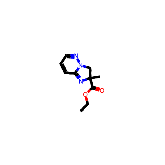 CCOC(=O)C1(C)CN2N=CC=CC2=N1